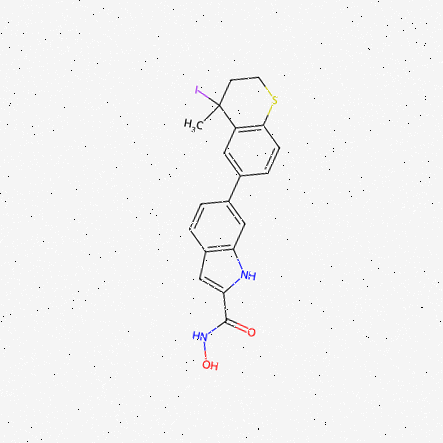 CC1(I)CCSc2ccc(-c3ccc4cc(C(=O)NO)[nH]c4c3)cc21